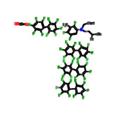 CCCCC(CC)CCN(CC(C)CCC)c1cc(F)c(F)c(C(F)(F)F)c1F.Fc1c(F)c(F)c(-c2c(F)c(F)c(F)c(F)c2F)c(F)c1F.Fc1c(F)c(F)c(-c2c(F)c(F)c(F)c(F)c2F)c(F)c1F.Fc1c(F)c(F)c(-c2c(F)c(F)c(F)c(F)c2F)c(F)c1F.Fc1c(F)c(F)c(-c2c(F)c(F)c(F)c(F)c2F)c(F)c1F.[O]=[Al][OH]